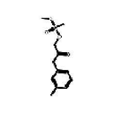 COP(C)(=O)OCC(=O)Cc1cccc(C)c1